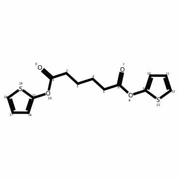 O=C(CCCCC(=O)Oc1cccs1)Oc1cccs1